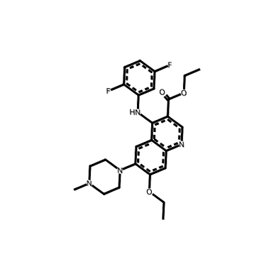 CCOC(=O)c1cnc2cc(OCC)c(N3CCN(C)CC3)cc2c1Nc1cc(F)ccc1F